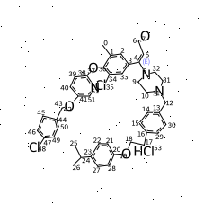 Cc1cc(/C(=C\C=O)N2CCN(Cc3ccc(CCOc4ccc(C(C)C)cc4)cc3)CC2)cc(Cl)c1Oc1ccc(OCc2ccc(Cl)cc2)cn1.Cl